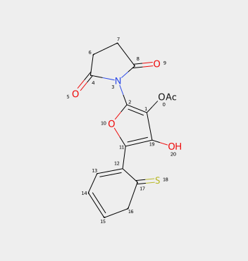 CC(=O)Oc1c(N2C(=O)CCC2=O)oc(C2=CC=CCC2=S)c1O